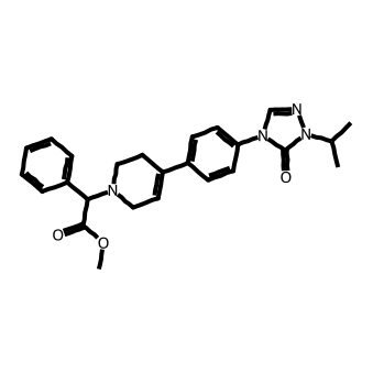 COC(=O)C(c1ccccc1)N1CC=C(c2ccc(-n3cnn(C(C)C)c3=O)cc2)CC1